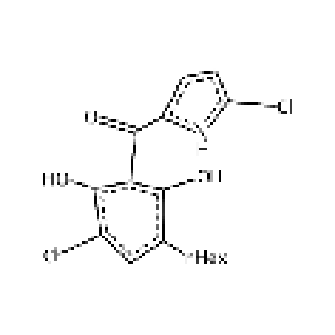 CCCCCCc1cc(Cl)c(O)c(C(=O)c2ccc(Cl)[nH]2)c1O